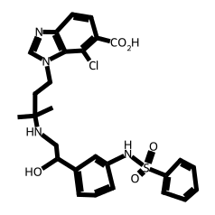 CC(C)(CCn1cnc2ccc(C(=O)O)c(Cl)c21)NCC(O)c1cccc(NS(=O)(=O)c2ccccc2)c1